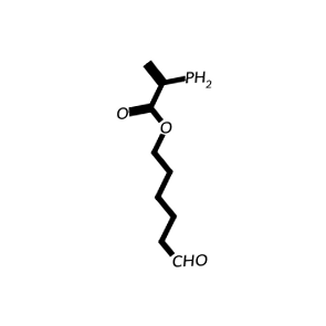 C=C(P)C(=O)OCCCCCC=O